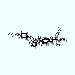 CN1CCC(Oc2ncccc2NS(=O)(=O)c2ccc3cc(C(O)NO)oc3c2)CC1